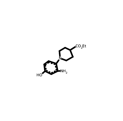 CCOC(=O)C1CCN(c2ccc(O)cc2N)CC1